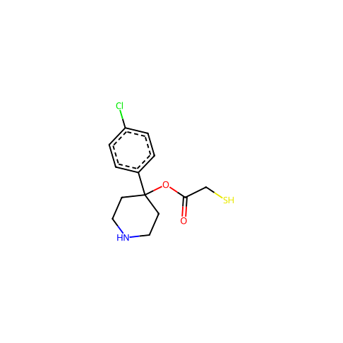 O=C(CS)OC1(c2ccc(Cl)cc2)CCNCC1